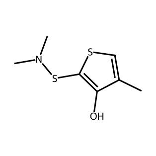 Cc1csc(SN(C)C)c1O